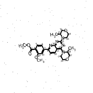 COC(=O)c1ccc(-c2ccc3c(N4CCOCC4C)nc(N4CCOCC4C)nc3n2)cc1OC